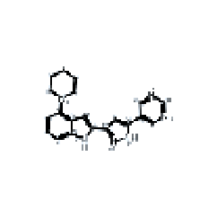 c1cc(N2CCCCC2)c2cc(-c3cc(-c4cncnc4)[nH]n3)[nH]c2c1